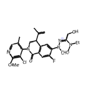 C=C(C)C1CN(c2c(C)cnc(OC)c2Cl)C(=O)c2cc(F)c(N(C=O)/N=C(/CO)N(C)CC)cc21